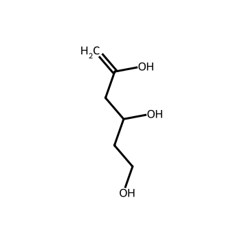 C=C(O)CC(O)CCO